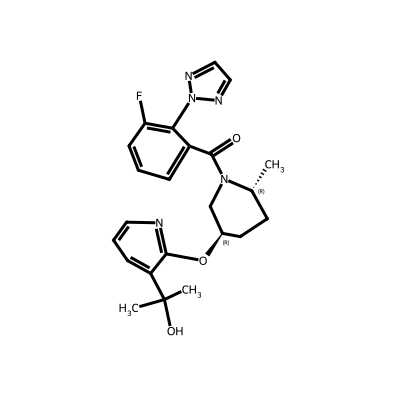 C[C@@H]1CC[C@@H](Oc2ncccc2C(C)(C)O)CN1C(=O)c1cccc(F)c1-n1nccn1